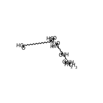 CCN[C@@H](CCCCNC(=O)CCCCCNC(=O)CC[C@H](NC(=O)CCCCCCCCCCCCCCCCCCC(=O)O)C(=O)O)C(=O)P